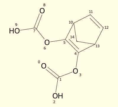 O=C(O)OC1=C(OC(=O)O)C2C=CC1C2